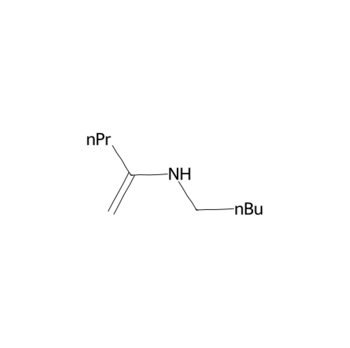 C=C(CCC)NCCCCC